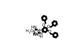 CN(C)C(=N)NC(=N)Nc1cc(OCc2ccccc2)c(OCc2ccccc2)c(OCc2ccccc2)c1